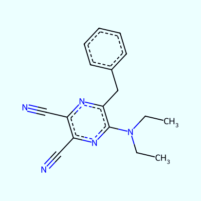 CCN(CC)c1nc(C#N)c(C#N)nc1Cc1ccccc1